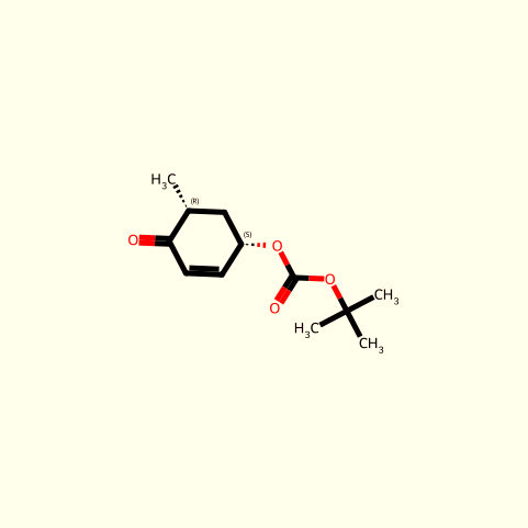 C[C@@H]1C[C@H](OC(=O)OC(C)(C)C)C=CC1=O